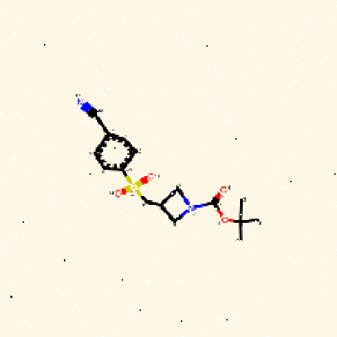 CC(C)(C)OC(=O)N1CC(CS(=O)(=O)c2ccc(C#N)cc2)C1